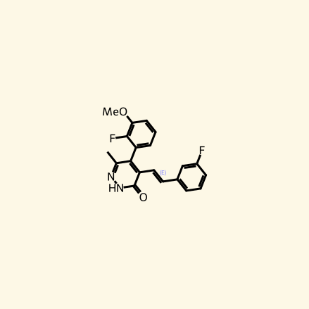 COc1cccc(-c2c(C)n[nH]c(=O)c2/C=C/c2cccc(F)c2)c1F